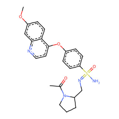 COc1ccc2c(Oc3ccc(S(N)(=O)=NCC4CCCN4C(C)=O)cc3)ccnc2c1